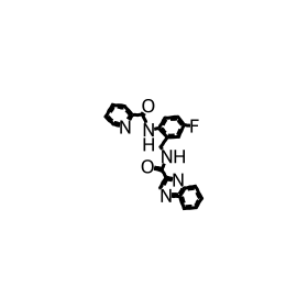 O=C(NCc1cc(F)ccc1NC(=O)c1ccccn1)c1cnc2ccccc2n1